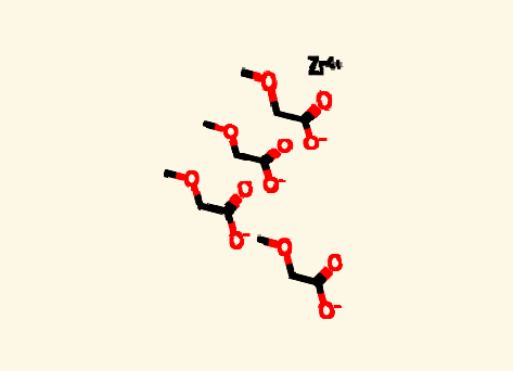 COCC(=O)[O-].COCC(=O)[O-].COCC(=O)[O-].COCC(=O)[O-].[Zr+4]